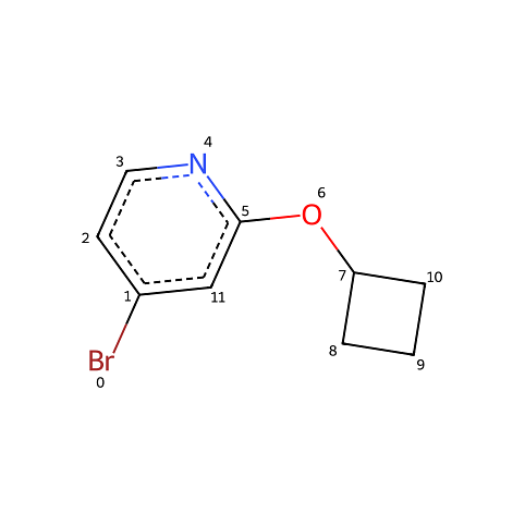 Brc1ccnc(OC2CCC2)c1